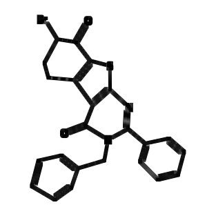 O=C1c2sc3nc(-c4ccccc4)n(Cc4ccccc4)c(=O)c3c2CCC1Br